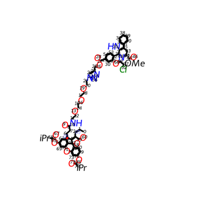 C/C=C\C1=C(/C=C\CC(=O)NCCOCCOCCOCCn2cc(COC(=O)c3ccc(C4c5[nH]c6ccccc6c5C[C@H](C(=O)OC)N4C(=O)CCl)cc3)nn2)C2(OC1=O)c1ccc(OC(=O)C(C)C)cc1Oc1cc(OC(=O)C(C)C)ccc12